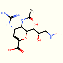 BNC[C@@H](O)[C@@H](O)[C@@H]1OC(C(=O)O)=C[C@H](NC(=N)N)[C@H]1NC(C)=O